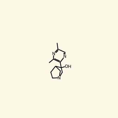 Cc1cnc(C2(O)CN3CCC2C3)c(C)n1